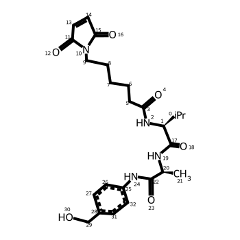 CC(C)[C@H](NC(=O)CCCCCN1C(=O)C=CC1=O)C(=O)N[C@@H](C)C(=O)Nc1ccc(CO)cc1